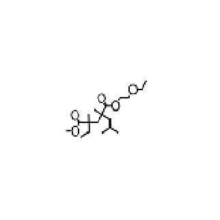 CCOCCOC(=O)C(C)(CC(C)C)CC(C)(CC)C(=O)OC